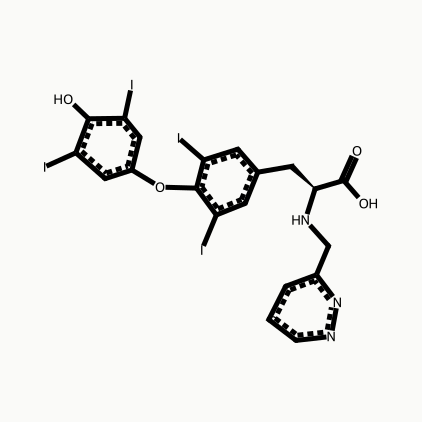 O=C(O)[C@H](Cc1cc(I)c(Oc2cc(I)c(O)c(I)c2)c(I)c1)NCc1cccnn1